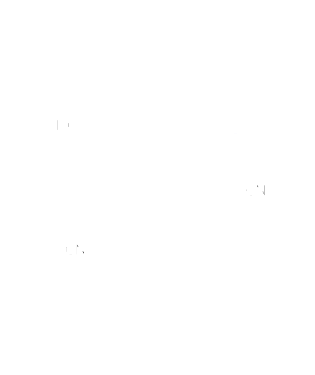 CC(C=CC#N)CC/C=C\C#N